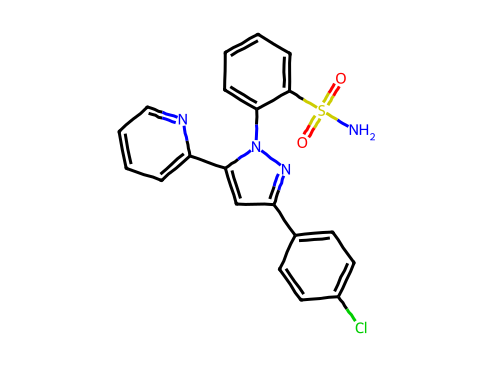 NS(=O)(=O)c1ccccc1-n1nc(-c2ccc(Cl)cc2)cc1-c1ccccn1